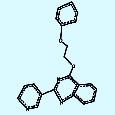 c1ccc(OCCOc2nc(-c3cccnc3)nc3ccccc23)cc1